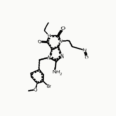 CCn1c(=O)c2c(nc(N)n2Cc2ccc(OC)c(Br)c2)n(CCN=O)c1=O